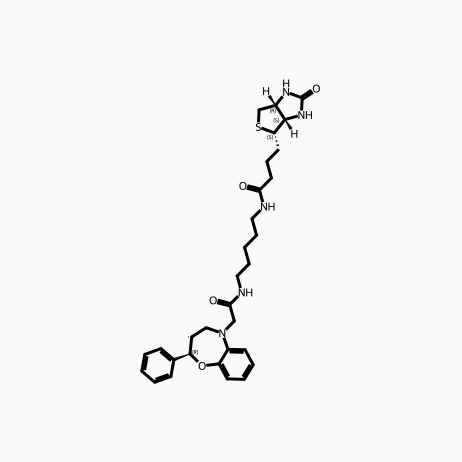 O=C(CCC[C@@H]1SC[C@@H]2NC(=O)N[C@@H]21)NCCCCCNC(=O)CN1C[CH][C@H](c2ccccc2)Oc2ccccc21